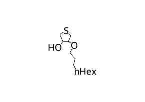 CCCCCCCCCOC1CSCC1O